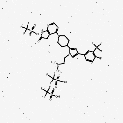 CN(C)CCn1cc(-c2ccc(F)c(C(F)(F)F)c2)nc1C1CCN(c2ncnc3c2CC(=O)N3)CC1.O=S(=O)(O)C(F)(F)F.O=S(=O)(O)C(F)(F)F.O=S(=O)(O)C(F)(F)F